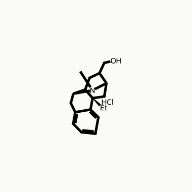 CC[C@]12CC3C(CO)CC1C(Cc1ccccc12)N3C.Cl